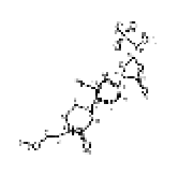 COCCN1CCN(c2ccc(N3C[C@H](C(O)S(C)(=O)=O)OC3=O)cc2F)CC1=O